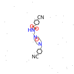 N#Cc1ccc(CN2CC3CN(CCNS(=O)(=O)c4ccc(C#N)cc4)CC(C2)O3)cc1